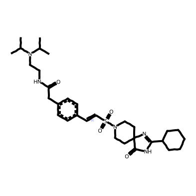 CC(C)N(CCNC(=O)Cc1ccc(/C=C/S(=O)(=O)N2CCC3(CC2)N=C(C2CCCCC2)NC3=O)cc1)C(C)C